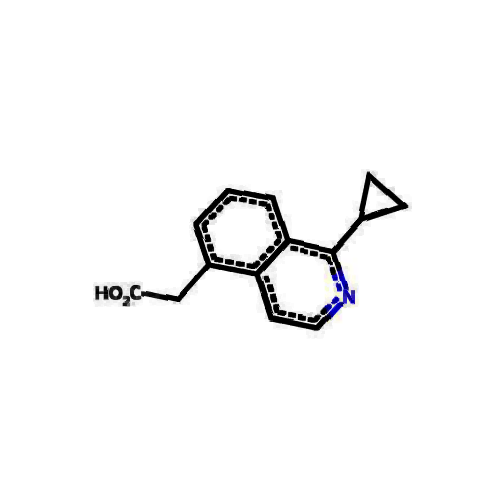 O=C(O)Cc1cccc2c(C3CC3)nccc12